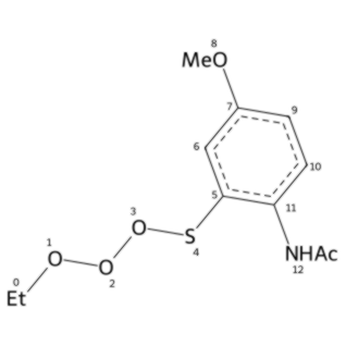 CCOOOSc1cc(OC)ccc1NC(C)=O